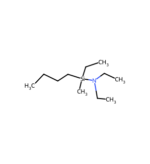 CCCC[Si](C)(CC)N(CC)CC